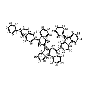 c1ccc(-c2ccc3cc(-c4nc(-n5c6ccccc6c6c7ccccc7c(-c7ccc8c9ccccc9n(-c9ccccc9)c8c7)cc65)nc5ccccc45)ccc3c2)cc1